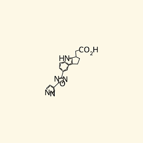 O=C(O)CC1CCc2c1[nH]c1ccc(-c3noc(-c4ccnnc4)n3)cc21